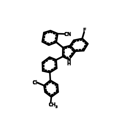 Cc1ccc(-c2cccc(-c3[nH]c4ccc(F)cc4c3-c3ccccc3C#N)c2)c(Cl)c1